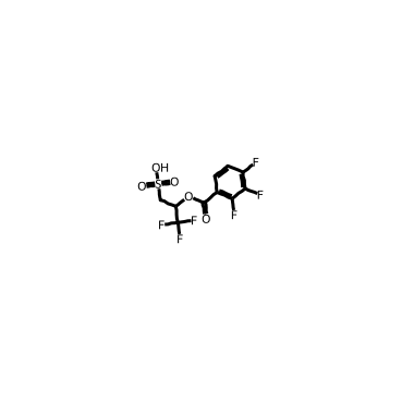 O=C(OC(CS(=O)(=O)O)C(F)(F)F)c1ccc(F)c(F)c1F